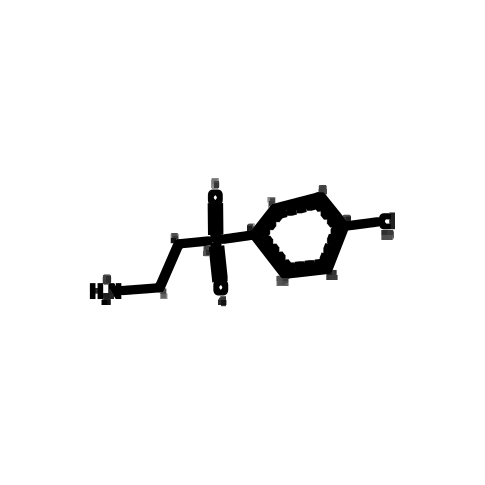 NCCS(=O)(=O)c1ccc(Cl)cc1